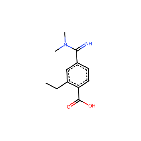 CCc1cc(C(=N)N(C)C)ccc1C(=O)O